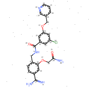 N=C(N)c1ccc(CNC(=O)c2cc(Cl)cc(OCc3cccnc3)c2)c(OCC(N)=O)c1